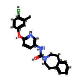 Cc1cc(Oc2ccc(NC(=O)N3CCc4ccccc4CC3)cn2)ccc1Cl